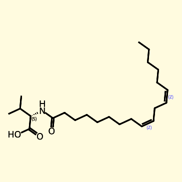 CCCCC/C=C\C/C=C\CCCCCCCC(=O)N[C@H](C(=O)O)C(C)C